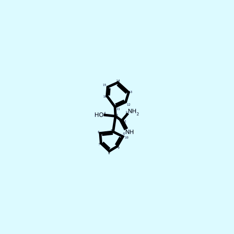 N=C(N)C(O)(c1ccccc1)c1ccccc1